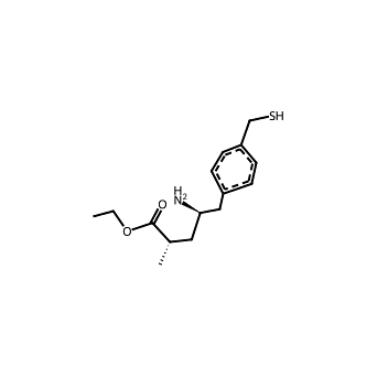 CCOC(=O)[C@@H](C)C[C@@H](N)Cc1ccc(CS)cc1